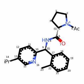 CC(=O)N1CCC[C@H]1C(=O)N[C@H](c1ccc(C(C)C)cn1)c1ccccc1C